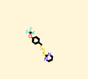 FC(F)(F)Oc1ccc(CSSSc2ncccn2)cc1